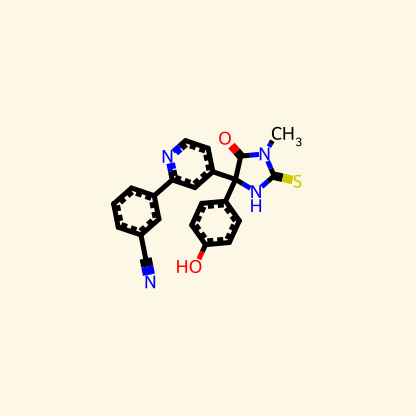 CN1C(=O)C(c2ccc(O)cc2)(c2ccnc(-c3cccc(C#N)c3)c2)NC1=S